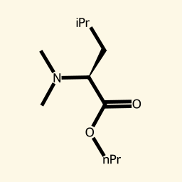 CCCOC(=O)[C@H](CC(C)C)N(C)C